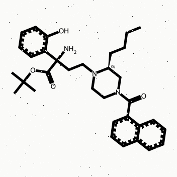 CCCC[C@H]1CN(C(=O)c2cccc3ccccc23)CCN1CCC(N)(C(=O)OC(C)(C)C)c1ccccc1O